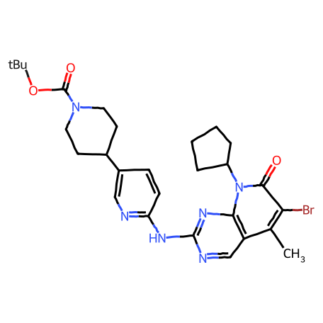 Cc1c(Br)c(=O)n(C2CCCC2)c2nc(Nc3ccc(C4CCN(C(=O)OC(C)(C)C)CC4)cn3)ncc12